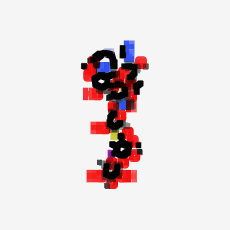 CC#C/C=C\C#C[C@H](O[C@@H]1O[C@H](C)[C@@H](NO[C@H]2C[C@H](O)[C@H](SC(=O)c3c(C)c(I)c(O[C@@H]4O[C@@H](C)[C@H](O)[C@@H](OC)[C@H]4O)c(OC)c3OC)[C@@H](C)O2)[C@H](O)[C@H]1O[C@H]1C[C@H](OC)[C@@H](NCC)CO1)C1=C(NC(=O)OC)C(=O)C[C@](C)(O)/C1=C/CSSC(C)C